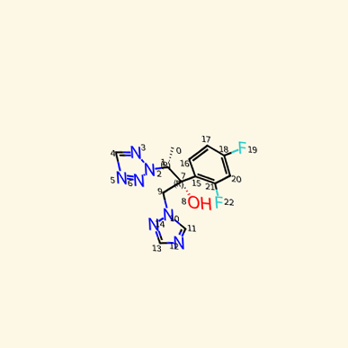 C[C@@H](n1ncnn1)[C@](O)(Cn1cncn1)c1ccc(F)cc1F